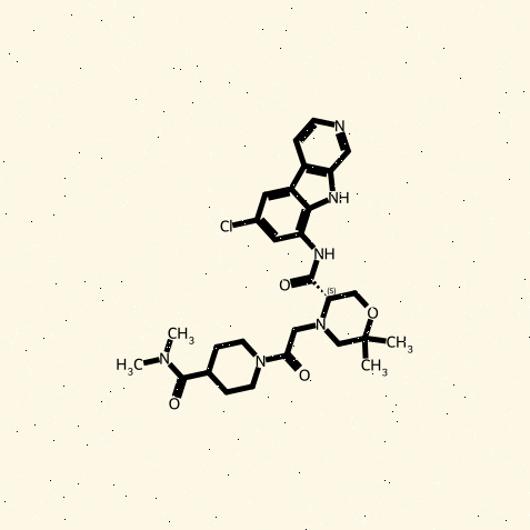 CN(C)C(=O)C1CCN(C(=O)CN2CC(C)(C)OC[C@H]2C(=O)Nc2cc(Cl)cc3c2[nH]c2cnccc23)CC1